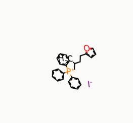 CC(CCc1ccco1)C[P+](c1ccccc1)(c1ccccc1)c1ccccc1.[I-]